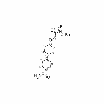 CCN(C(=O)NOC1CCN(c2ccc(C(N)=O)cn2)CC1)C(C)(C)C